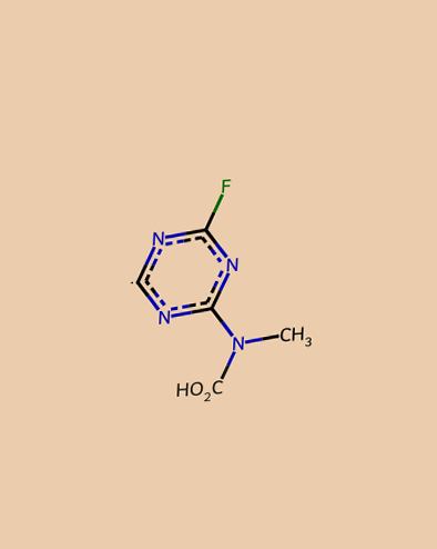 CN(C(=O)O)c1n[c]nc(F)n1